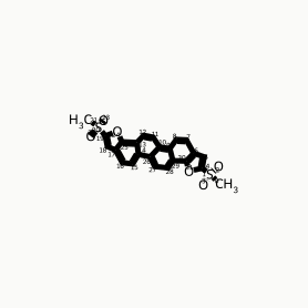 CS(=O)(=O)c1cc2ccc3c4ccc5c(ccc6cc(S(C)(=O)=O)oc65)c4ccc3c2o1